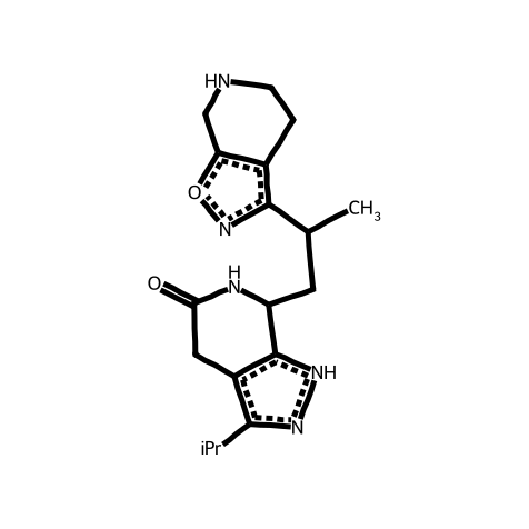 CC(C)c1n[nH]c2c1CC(=O)NC2CC(C)c1noc2c1CCNC2